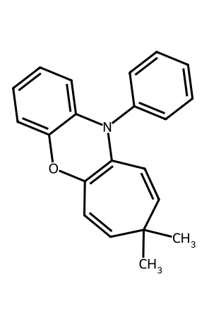 CC1(C)C=CC2=C(C=C1)N(c1ccccc1)c1ccccc1O2